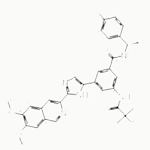 COc1cc2cnc(-c3ncc(-c4cc(NC(=O)C(C)(C)F)cc(C(=O)N[C@H](C)c5ccc(F)cc5)c4)[nH]3)cc2cc1OC